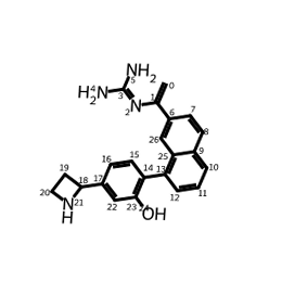 C=C(N=C(N)N)c1ccc2cccc(-c3ccc(C4CCN4)cc3O)c2c1